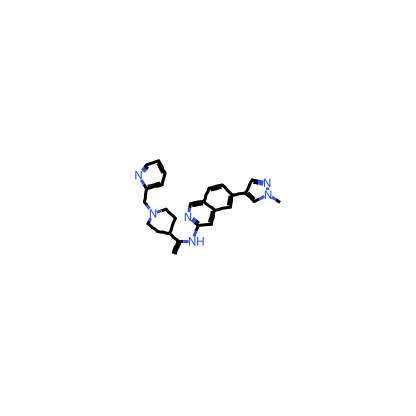 C=C(Nc1cc2cc(-c3cnn(C)c3)ccc2cn1)C1CCN(Cc2ccccn2)CC1